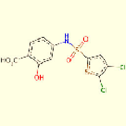 O=C(O)c1ccc(NS(=O)(=O)c2cc(Cl)c(Cl)s2)cc1O